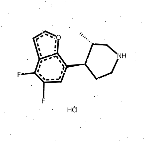 C[C@@H]1CNCC[C@H]1c1cc(F)c(F)c2ccoc12.Cl